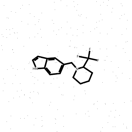 FC(F)(F)C1CCCCN1Cc1ccc2[nH]ccc2c1